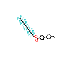 CC[C@H]1CC[C@H](c2ccc(C(=O)OCC(F)(F)C(F)(F)C(F)(F)C(F)(F)C(F)(F)C(F)(F)C(F)(F)C(F)(F)C(F)(F)C(F)F)cc2)CC1